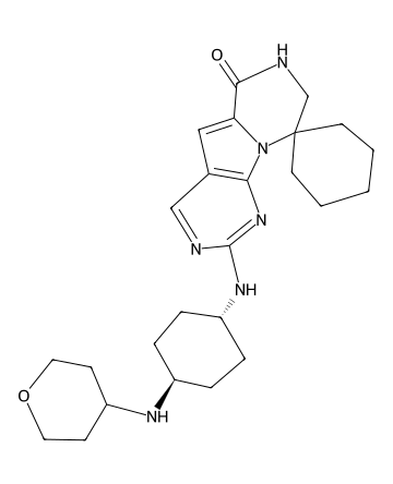 O=C1NCC2(CCCCC2)n2c1cc1cnc(N[C@H]3CC[C@H](NC4CCOCC4)CC3)nc12